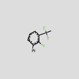 CC(C)c1cccc(C(C)(F)F)c1F